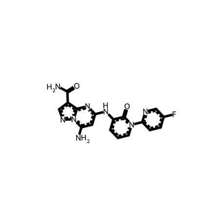 NC(=O)c1cnn2c(N)cc(Nc3cccn(-c4ccc(F)cn4)c3=O)nc12